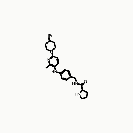 Cc1nc(N2CCC(C(C)C)CC2)ccc1Nc1ccc(CNC(=O)C2CCCN2)cc1